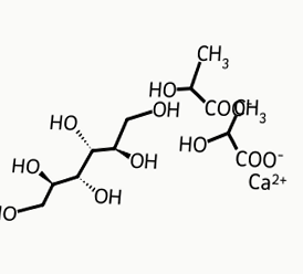 CC(O)C(=O)[O-].CC(O)C(=O)[O-].OC[C@@H](O)[C@@H](O)[C@H](O)[C@H](O)CO.[Ca+2]